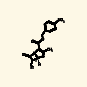 CC1=C(C(=O)OCc2ccc([N+](=O)[O-])cc2)N2C(=O)C(C(C)C)[C@@H]2S1